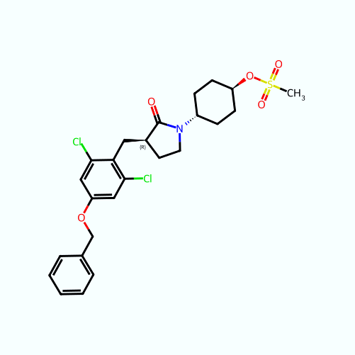 CS(=O)(=O)O[C@H]1CC[C@H](N2CC[C@@H](Cc3c(Cl)cc(OCc4ccccc4)cc3Cl)C2=O)CC1